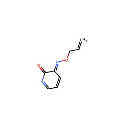 C=CCON=C1C=CC=NC1=O